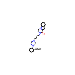 COc1ccccc1N1CCN(CCCCN2CCn3c(cc4ccccc43)C2=O)CC1